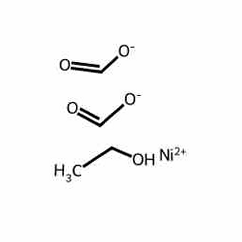 CCO.O=C[O-].O=C[O-].[Ni+2]